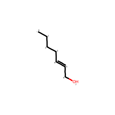 [CH2]CCCC=CCO